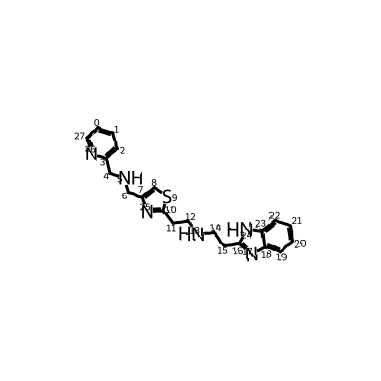 c1ccc(CNCc2csc(CCNCCc3nc4ccccc4[nH]3)n2)nc1